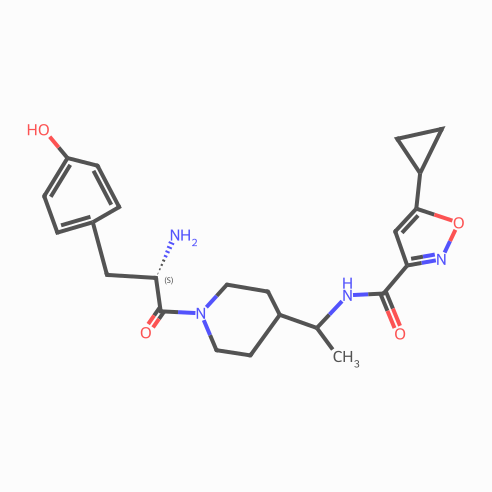 CC(NC(=O)c1cc(C2CC2)on1)C1CCN(C(=O)[C@@H](N)Cc2ccc(O)cc2)CC1